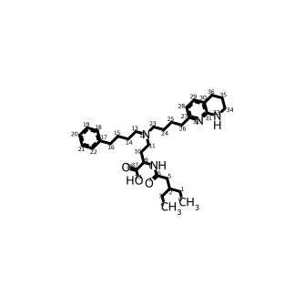 CCC(CC)CC(=O)NC(CCN(CCCCc1ccccc1)CCCCc1ccc2c(n1)NCCC2)C(=O)O